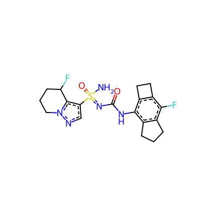 NS(=O)(=NC(=O)Nc1c2c(c(F)c3c1CC3)CCC2)c1cnn2c1C(F)CCC2